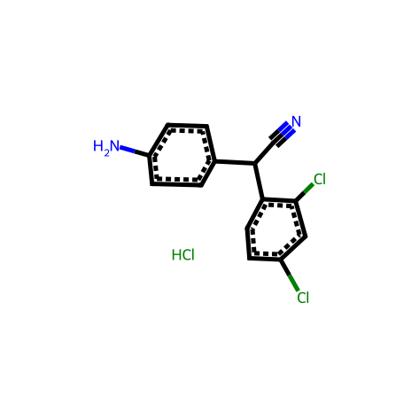 Cl.N#CC(c1ccc(N)cc1)c1ccc(Cl)cc1Cl